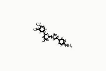 Cc1cc(-c2ccc(Cl)c(Cl)c2)nc(-n2cnc(-c3ccc(N)nc3)c2)n1